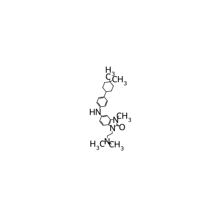 CN(C)CCn1c(=O)n(C)c2cc(Nc3ccc(C4CCC(C)(C)CC4)cc3)ccc21